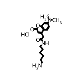 CN(C)c1ccc2c(CC(=O)NCCCCCCN)cc(=O)oc2c1.Cl